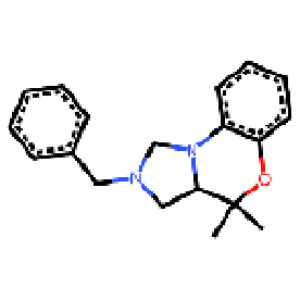 CC1(C)Oc2ccccc2N2CN(Cc3ccccc3)CC21